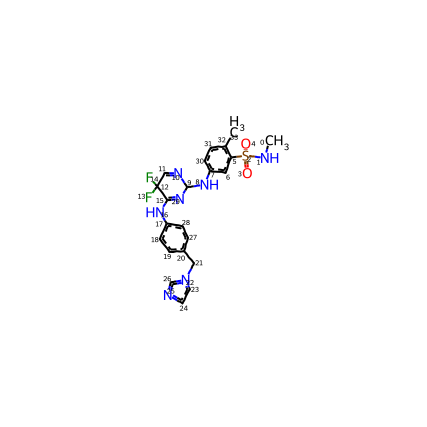 CNS(=O)(=O)c1cc(NC2N=CC(F)(F)C(Nc3ccc(Cn4ccnc4)cc3)=N2)ccc1C